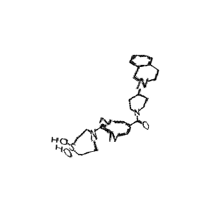 O=C(c1cnc(N2CCS(O)(O)CC2)nc1)N1CCC(N2CCc3ccccc3C2)CC1